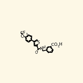 O=C(O)c1cccc(CNC(=O)c2cc(-c3ccc(OC(F)(F)F)cc3)cs2)c1